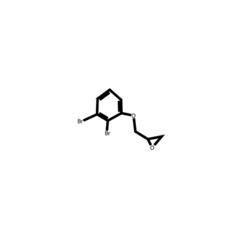 Brc1[c]ccc(OCC2CO2)c1Br